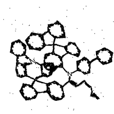 C=C/C=C\C=C(\c1ccc2c(c1)C1(c3ccccc3-2)c2ccccc2-n2c3ccccc3c3cccc1c32)N(c1ccc(-c2ccccc2)cc1)c1cccc2c1-c1ccccc1C21c2ccccc2-c2ccccc21